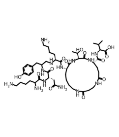 CC(C)[C@H](NC(=O)[C@@H]1CCC(=O)NCCC(=O)NCCCC[C@H](NC(=O)[C@H](CCCCN)NCC(Cc2ccc(O)cc2)NC(=O)[C@H](CC(N)=O)NC(=O)C(N)CCCCN)C(=O)N[C@@H](C(C)O)C(=O)N1)C(=O)O